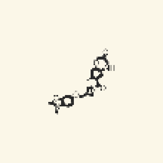 CC1Oc2cc(OCC3CN(C(=O)c4cc5c(cc4F)OCC(=O)CN5)C3)ccc2N1C